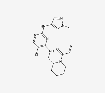 C=CC(=O)N1CCCC[C@@H]1CNc1nc(Nc2cnn(C)c2)ncc1Cl